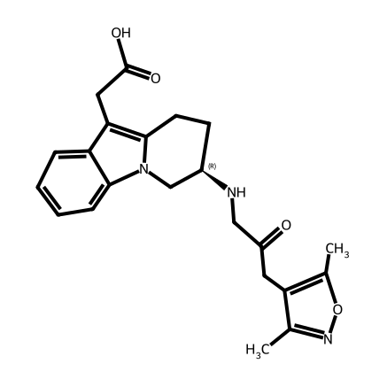 Cc1noc(C)c1CC(=O)CN[C@@H]1CCc2c(CC(=O)O)c3ccccc3n2C1